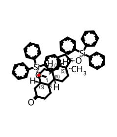 C[C@]12CC[C@H]3[C@@H](CC[C@H]4CC(=O)CC[C@@]43CO[Si](c3ccccc3)(c3ccccc3)c3ccccc3)[C@@H]1CC[C@@H]2O[Si](c1ccccc1)(c1ccccc1)c1ccccc1